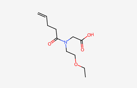 C=CCCC(=O)N(CCOCC)CC(=O)O